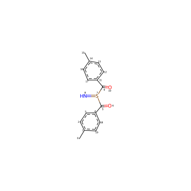 Cc1ccc(C(=O)S(=N)C(=O)c2ccc(C)cc2)cc1